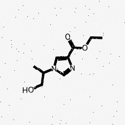 CCOC(=O)c1cn(C(C)CO)cn1